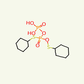 O=P(O)(O)OP(=O)(OSC1CCCCC1)SC1CCCCC1